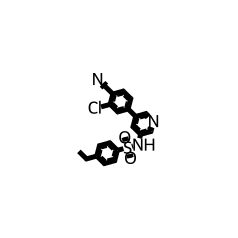 CCc1ccc(S(=O)(=O)Nc2cncc(-c3ccc(C#N)c(Cl)c3)c2)cc1